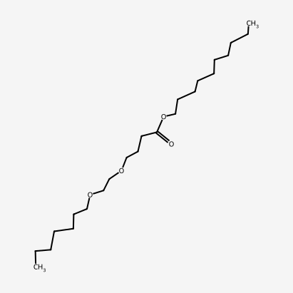 CCCCCCCCCCOC(=O)CCCOCCOCCCCCCC